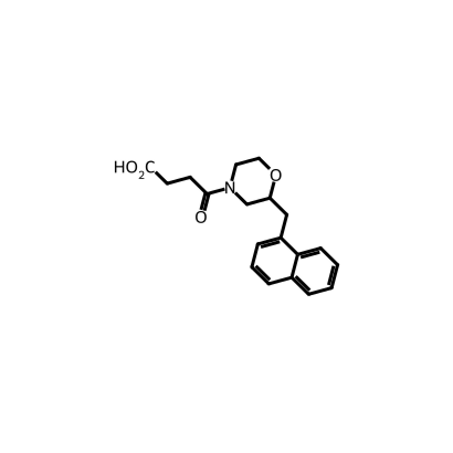 O=C(O)CCC(=O)N1CCOC(Cc2cccc3ccccc23)C1